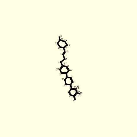 Cc1ccc(C2C=CC(c3ccc(CC/C=C/C4CCC(C)CC4)cc3)CC2)c(F)c1F